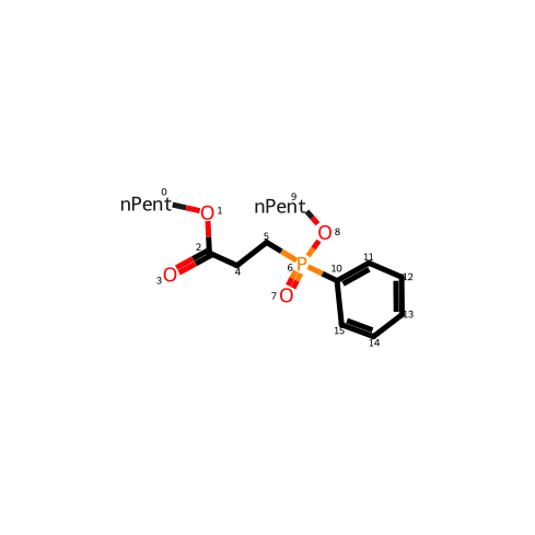 CCCCCOC(=O)CCP(=O)(OCCCCC)c1ccccc1